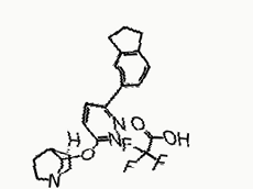 O=C(O)C(F)(F)F.c1cc2c(cc1-c1ccc(O[C@H]3CN4CCC3CC4)nn1)CCC2